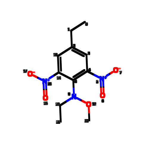 CCc1cc([N+](=O)[O-])c(N(CC)OC)c([N+](=O)[O-])c1